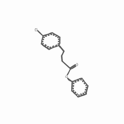 O=C(CCc1ccc(Cl)cc1)Oc1ccccc1